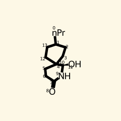 CCCC1CCC2(CCC(=O)N[C@@H]2O)CC1